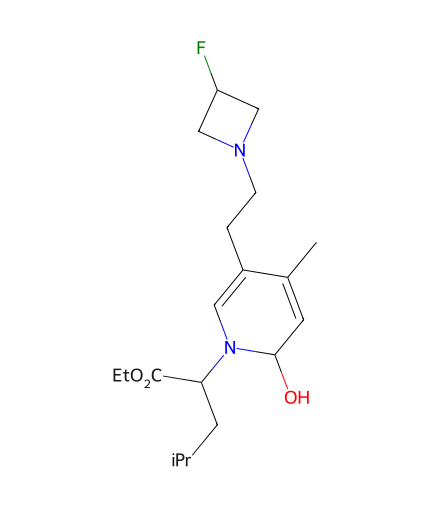 CCOC(=O)C(CC(C)C)N1C=C(CCN2CC(F)C2)C(C)=CC1O